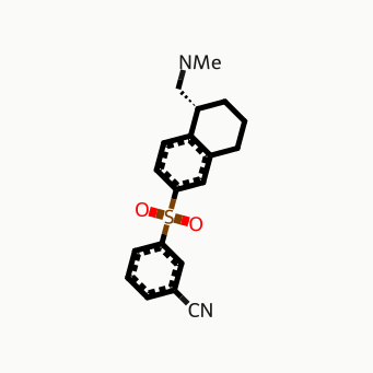 CNC[C@@H]1CCCc2cc(S(=O)(=O)c3cccc(C#N)c3)ccc21